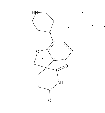 O=C1CCC2(COc3c(N4CCNCC4)cccc32)C(=O)N1